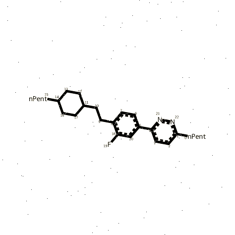 CCCCCc1ccc(-c2ccc(CCC3CCC(CCCCC)CC3)c(F)c2)nn1